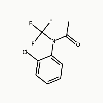 CC(=O)N(c1ccccc1Cl)C(F)(F)F